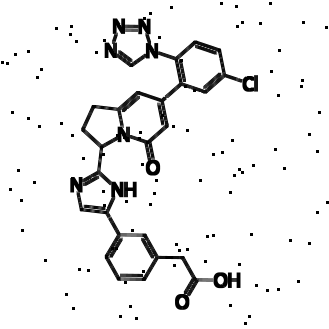 O=C(O)Cc1cccc(-c2cnc(C3CCc4cc(-c5cc(Cl)ccc5-n5cnnn5)cc(=O)n43)[nH]2)c1